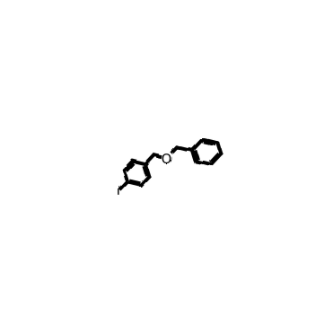 Ic1ccc(COCc2ccccc2)cc1